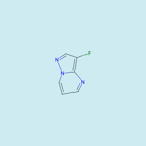 Fc1cnn2cccnc12